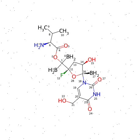 BC(B)(OC(=O)[C@@H](N)C(C)C)[C@]1(F)C[C@@H](O)[C@](B)(n2cc(CO)c(=O)[nH]c2=O)O1